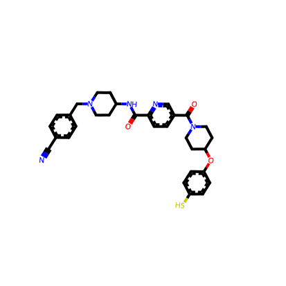 N#Cc1ccc(CN2CCC(NC(=O)c3ccc(C(=O)N4CCC(Oc5ccc(S)cc5)CC4)cn3)CC2)cc1